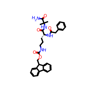 CC(C)(NC(=O)[C@@H](CCCNC(=O)OCC1c2ccccc2-c2ccccc21)NC(=O)Cc1ccccc1)C(N)=O